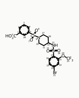 O=C(O)c1cccc(S(=O)(=O)N2CCC(NS(=O)(=O)c3ccc(Br)cc3OC(F)(F)F)CC2)c1